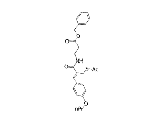 CCCOc1ccc(/C=C(\CSC(C)=O)C(=O)NCCC(=O)OCc2ccccc2)cc1